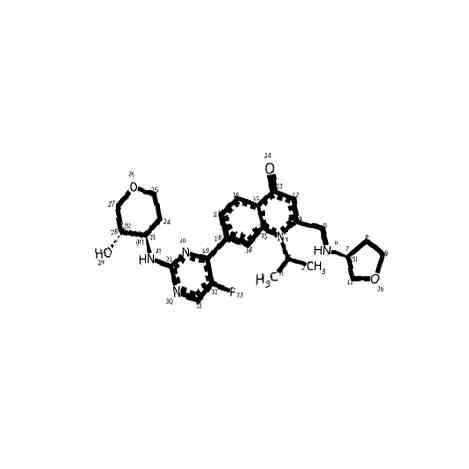 CC(C)n1c(CN[C@H]2CCOC2)cc(=O)c2ccc(-c3nc(N[C@@H]4CCOC[C@H]4O)ncc3F)cc21